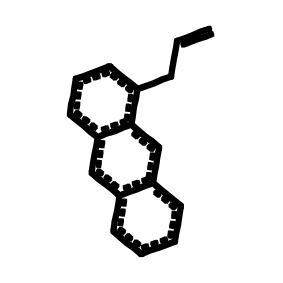 C=CCc1cccc2cc3ccccc3cc12